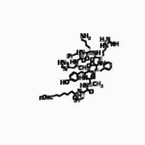 CCCCCCCCCCCCCCCC(=O)N[C@@H](CC(C)C)C(=O)N[C@@H](C)C(=O)N[C@@H](Cc1ccc(O)cc1)C(=O)N[C@@H](Cc1ccccc1)C(=O)N[C@@H](CCCNC(=N)N)C(=O)N[C@@H](CCCCN)C(=O)N[C@@H](CC(C)C)C(=O)N[C@H](C)Cc1c[nH]cn1